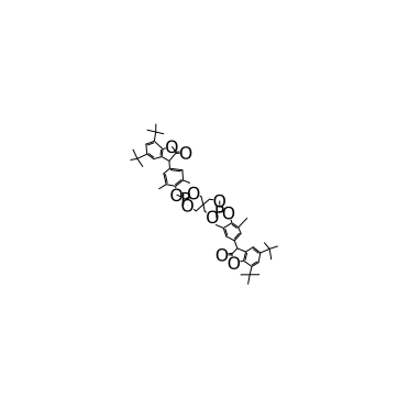 Cc1cc(C2C(=O)Oc3c2cc(C(C)(C)C)cc3C(C)(C)C)cc(C)c1OP1OCC2(CO1)COP(Oc1c(C)cc(C3C(=O)Oc4c3cc(C(C)(C)C)cc4C(C)(C)C)cc1C)OC2